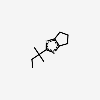 CCC(C)(C)c1nc2c(s1)CCC2